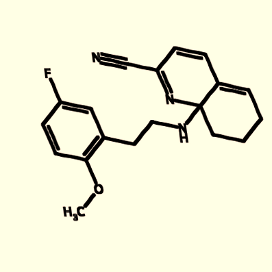 COc1ccc(F)cc1CCNC12CCCC=C1C=CC(C#N)=N2